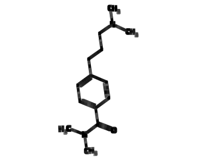 CN(C)CCCc1ccc(C(=O)N(C)C)cc1